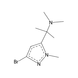 CN(C)C(C)(C)c1cc(Br)nn1C